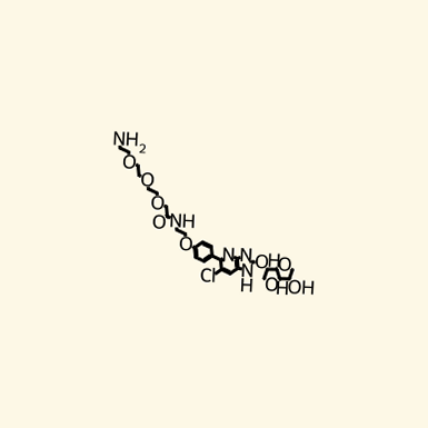 NCCOCCOCCOCC(=O)NCCOc1ccc(-c2nc3nc(O[C@@H]4CO[C@H]5[C@@H]4OC[C@H]5O)[nH]c3cc2Cl)cc1